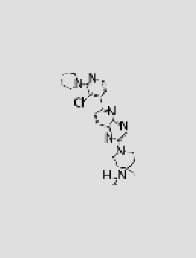 CC1(N)CCN(c2cnc3nc(-c4ccnc(N5CCCC5)c4Cl)ccc3n2)CC1